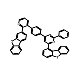 c1ccc(-c2nc(-c3ccc(-c4cccnc4-c4ccc5c(c4)oc4ccccc45)cc3)cc(-c3cccc4sc5ccccc5c34)n2)cc1